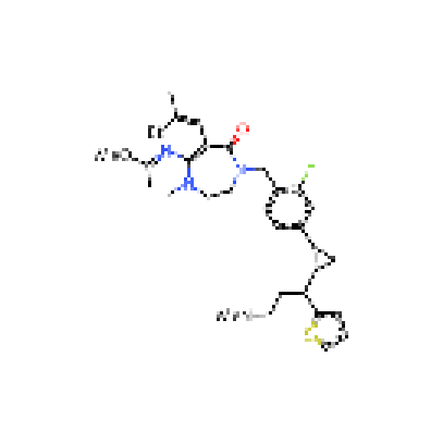 CC/C(C)=C\C1=C(/N=C(\C)OC)N(C)CCN(Cc2ccc(C3CC3C(CCNC)c3cccs3)cc2F)C1=O